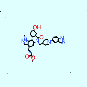 COC(=O)/C=C/c1cc(N(CC2CCN(c3ccc4c(cnn4C)c3)CC2)C(=O)C2CCCC(O)C2)cc2c1cnn2C